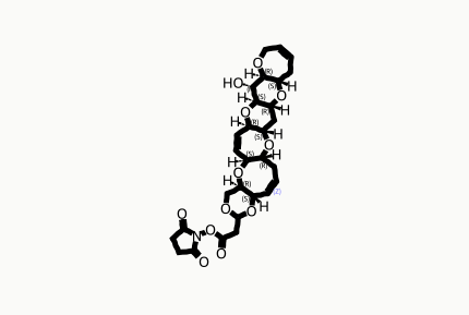 O=C(CC1OC[C@H]2O[C@H]3C=C[C@H]4O[C@H]5[C@H](O)[C@H]6OCC=CC[C@@H]6O[C@@H]5C[C@@H]4O[C@@H]3C/C=C\[C@@H]2O1)ON1C(=O)CCC1=O